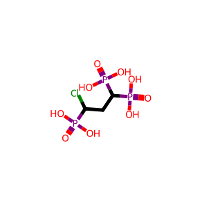 O=P(O)(O)C(Cl)CC(P(=O)(O)O)P(=O)(O)O